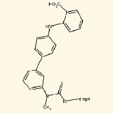 CCCCCCCNC(=S)N(C)c1cccc(-c2ccc(Nc3ccccc3C(=O)O)cc2)c1